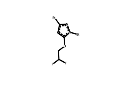 [CH2]Cc1cc(OCC(F)F)n(CC)n1